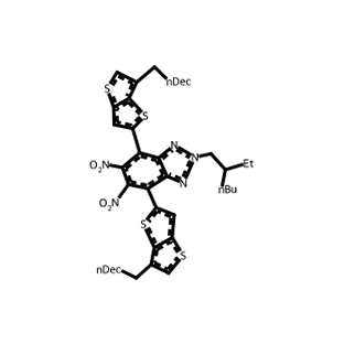 CCCCCCCCCCCc1csc2cc(-c3c([N+](=O)[O-])c([N+](=O)[O-])c(-c4cc5scc(CCCCCCCCCCC)c5s4)c4nn(CC(CC)CCCC)nc34)sc12